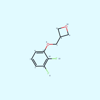 Fc1cccc(OCC2COC2)c1F